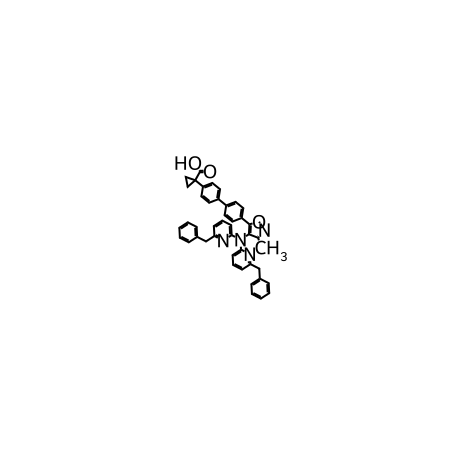 Cc1noc(-c2ccc(-c3ccc(C4(C(=O)O)CC4)cc3)cc2)c1N(c1cccc(Cc2ccccc2)n1)c1cccc(Cc2ccccc2)n1